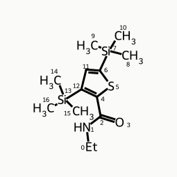 CCNC(=O)c1sc([Si](C)(C)C)cc1[Si](C)(C)C